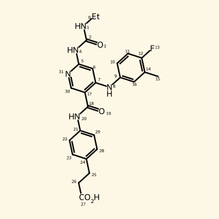 CCNC(=O)Nc1cc(Nc2ccc(F)c(C)c2)c(C(=O)Nc2ccc(CCC(=O)O)cc2)cn1